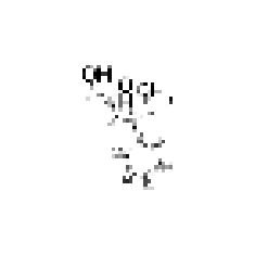 CCC(CC(O)CO)c1ccccc1